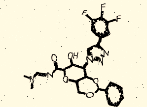 CN(C)C=NC(=O)C1OC2COC(c3ccccc3)OC2C(n2cc(-c3cc(F)c(F)c(F)c3)nn2)C1O